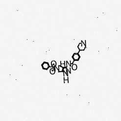 CN1CCC(c2ccc(C(=O)Nc3n[nH]c4c3CN(S(=O)(=O)c3ccccc3)C4)cc2)CC1